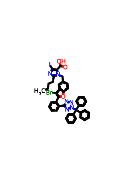 CCCCc1nc(I)c(C(=O)O)n1Cc1ccc2oc(-c3ccccc3-c3nnn(C(c4ccccc4)(c4ccccc4)c4ccccc4)n3)c(Br)c2c1